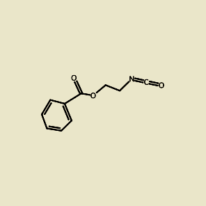 O=C=NCCOC(=O)c1ccccc1